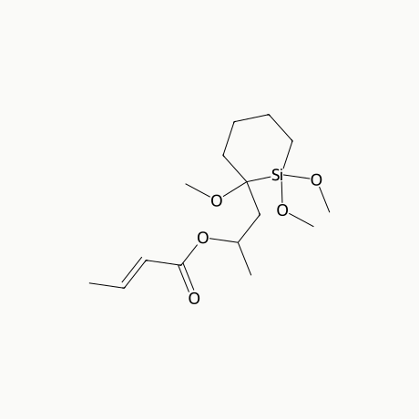 CC=CC(=O)OC(C)CC1(OC)CCCC[Si]1(OC)OC